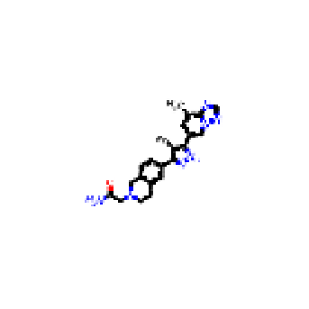 Cc1cc(-c2[nH]nc(-c3ccc4c(c3)CCN(CC(N)=O)C4)c2C(C)C)cn2ncnc12